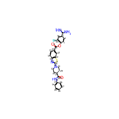 N=C(N)c1ccc(OC(=O)c2ccc3nc(N4CCC(C(=O)Nc5ccccc5)CC4)sc3c2)c(F)c1